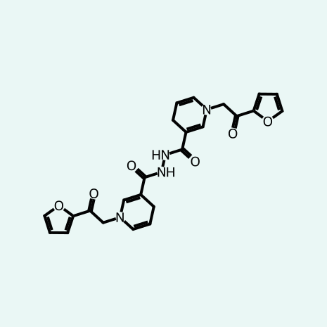 O=C(NNC(=O)C1=CN(CC(=O)c2ccco2)C=CC1)C1=CN(CC(=O)c2ccco2)C=CC1